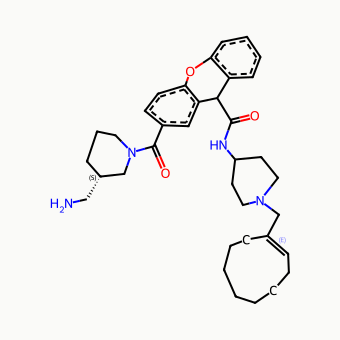 NC[C@@H]1CCCN(C(=O)c2ccc3c(c2)C(C(=O)NC2CCN(C/C4=C/CCCCCCC4)CC2)c2ccccc2O3)C1